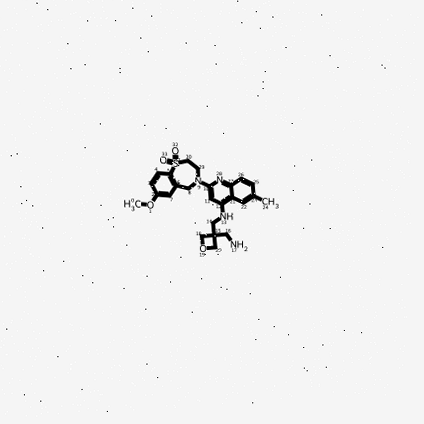 COc1ccc2c(c1)CN(c1cc(NCC3(CN)COC3)c3cc(C)ccc3n1)CCS2(=O)=O